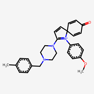 COc1ccc([N+]2=C(N3CCN(Cc4ccc(C)cc4)CC3)C=CC23C=CC(=O)C=C3)cc1